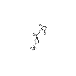 CC(C)(N)C1CCN(C(=O)CCN2C(=O)C=CC2=O)C1